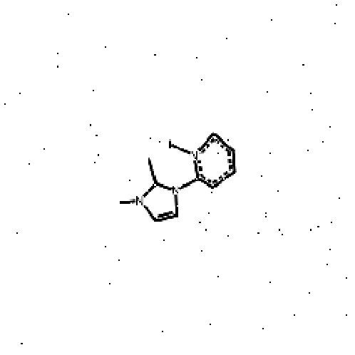 CC1N(C)C=CN1c1cccc[n+]1I